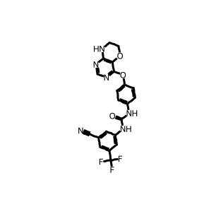 N#Cc1cc(NC(=O)Nc2ccc(Oc3ncnc4c3OCCN4)cc2)cc(C(F)(F)F)c1